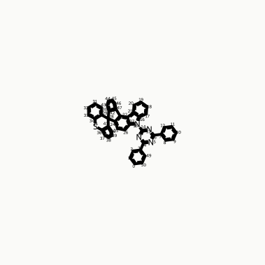 c1ccc(-c2nc(-c3ccccc3)nc(-n3c4ccccc4c4c5c(ccc43)C3(c4ccccc4Sc4ccccc43)c3ccccc3-5)n2)cc1